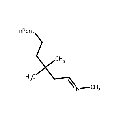 CCCCCCCC(C)(C)C/C=N/C